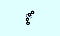 CCC.c1ccc(-c2cccc(Pc3cccc(-c4ccccc4)c3)c2)cc1